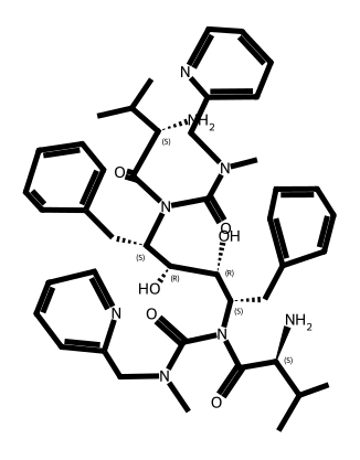 CC(C)[C@H](N)C(=O)N(C(=O)N(C)Cc1ccccn1)[C@@H](Cc1ccccc1)[C@@H](O)[C@H](O)[C@H](Cc1ccccc1)N(C(=O)[C@@H](N)C(C)C)C(=O)N(C)Cc1ccccn1